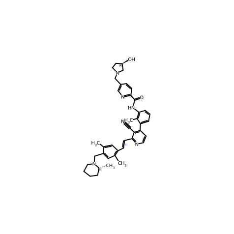 Cc1cc(CN2CCCC[C@H]2C)c(C)cc1/C=C/c1nccc(-c2cccc(NC(=O)c3ccc(CN4CC[C@@H](O)C4)cn3)c2C)c1C#N